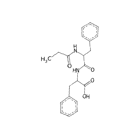 CCC(=O)NC(Cc1ccccc1)C(=O)NC(Cc1ccccc1)C(=O)O